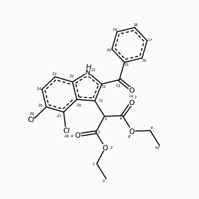 CCOC(=O)C(C(=O)OCC)c1c(C(=O)c2ccccc2)[nH]c2ccc(Cl)c(Cl)c12